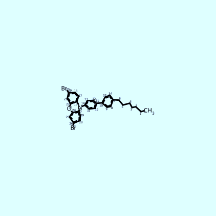 CCCCCCCc1ccc(-c2ccc(N3c4ccc(Br)cc4Oc4cc(Br)ccc43)cc2)cc1